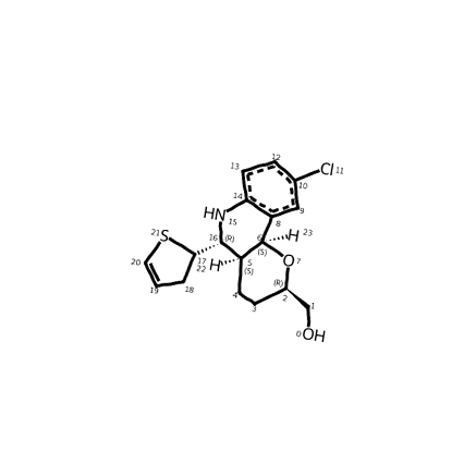 OC[C@H]1CC[C@@H]2[C@H](O1)c1cc(Cl)ccc1N[C@H]2C1CC=CS1